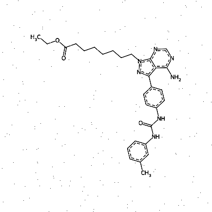 CCOC(=O)CCCCCCCn1nc(-c2ccc(NC(=O)Nc3cccc(C)c3)cc2)c2c(N)ncnc21